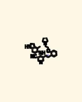 Cc1c(Nc2c(C#N)cncc2/C=C/c2ccccc2OCCN2CCCC2)ccc2[nH]ccc12